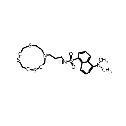 CN(C)c1cccc2c(S(=O)(=O)NCCCN3CCSCCSCCSCC3)cccc12